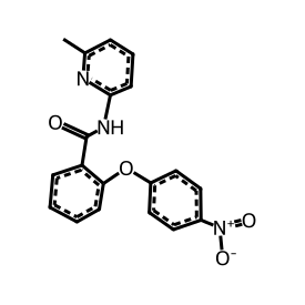 Cc1cccc(NC(=O)c2ccccc2Oc2ccc([N+](=O)[O-])cc2)n1